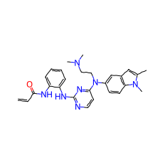 C=CC(=O)Nc1ccccc1Nc1nccc(N(CCN(C)C)c2ccc3c(c2)cc(C)n3C)n1